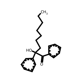 CCCCCCCC(O)(C(=O)c1ccccc1)c1ccccc1